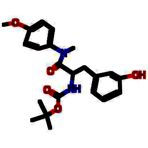 COc1ccc(N(C)C(=O)C(Cc2cccc(O)c2)NC(=O)OC(C)(C)C)cc1